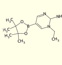 CCN1C=C(B2OC(C)(C)C(C)(C)O2)C=NC1N